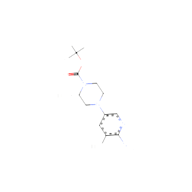 Cc1cc(N2CCN(C(=O)OC(C)(C)C)[C@@H](C)C2)cnc1N